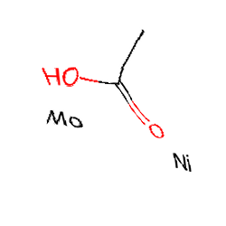 CC(=O)O.[Mo].[Ni]